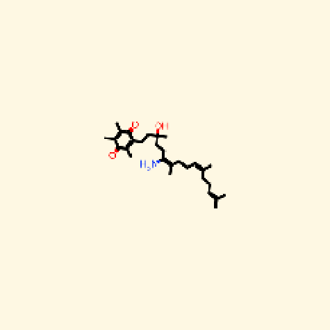 CC(C)=CCCC(C)=CCCC(C)=C(N)CCC(C)(O)CCC1=C(C)C(=O)C(C)=C(C)C1=O